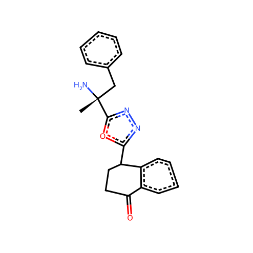 C[C@@](N)(Cc1ccccc1)c1nnc(C2CCC(=O)c3ccccc32)o1